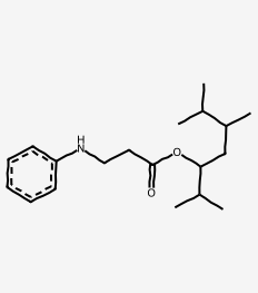 CC(C)C(C)CC(OC(=O)CCNc1ccccc1)C(C)C